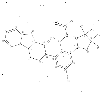 CC(=O)OCc1c(B2OC(C)(C)C(C)(C)O2)cc(F)cc1N1CCC2C(SC3C=CC=CC32)C1=O